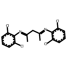 C/C(C/C(C)=N/c1c(Cl)cccc1Cl)=N\c1c(Cl)cccc1Cl